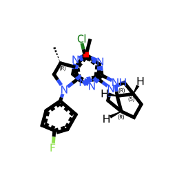 Cc1cc(N2C[C@H]3CC[C@@H](C2)[C@H]3Nc2nc(Cl)c3c(n2)N(c2ccc(F)cc2)C[C@@H]3C)ncn1